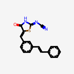 N#CN=C1NC(=O)C(=Cc2cccc(/C=C/c3ccccc3)c2)S1